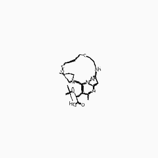 Cc1nc2cc3nn2c(c1[C@H](OC(C)(C)C)C(=O)O)N1CCC(C)(CC1)OC/C=C/CCCCN3